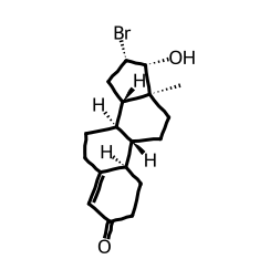 C[C@]12CC[C@H]3[C@@H](CCC4=CC(=O)CC[C@@H]43)[C@@H]1C[C@H](Br)[C@@H]2O